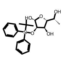 C[C@@H](O)[C@H]1O[C@@H](O)[C@H](O[Si](c2ccccc2)(c2ccccc2)C(C)(C)C)[C@@H]1O